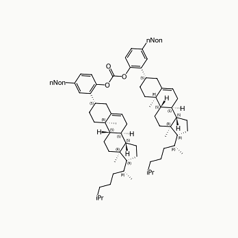 CCCCCCCCCc1ccc(OC(=O)Oc2ccc(CCCCCCCCC)cc2[C@H]2CC[C@@]3(C)C(=CC[C@H]4[C@@H]5CC[C@H]([C@H](C)CCCC(C)C)[C@@]5(C)CC[C@@H]43)C2)c([C@H]2CC[C@@]3(C)C(=CC[C@H]4[C@@H]5CC[C@H]([C@H](C)CCCC(C)C)[C@@]5(C)CC[C@@H]43)C2)c1